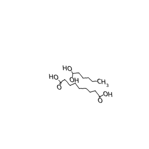 CCCCCC(O)O.O=C(O)CCCCCCCC(=O)O